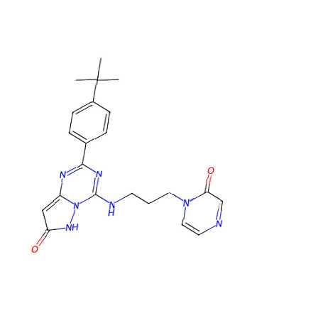 CC(C)(C)c1ccc(-c2nc(NCCCn3ccncc3=O)n3[nH]c(=O)cc3n2)cc1